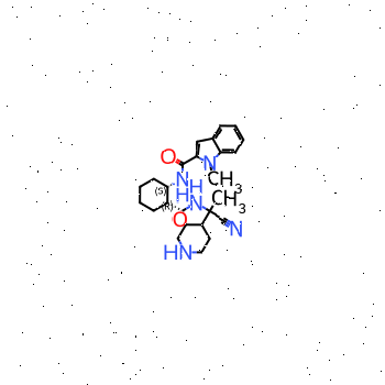 Cn1c(C(=O)N[C@H]2CCCC[C@H]2C(=O)NC(C)(C#N)C2CCNCC2)cc2ccccc21